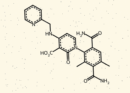 Cc1cc(C(N)=O)c(-n2ccc(NCc3ccccn3)c(C(=O)O)c2=O)c(C)c1C(N)=O